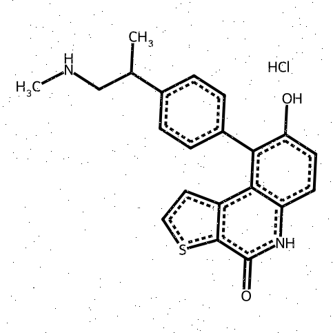 CNCC(C)c1ccc(-c2c(O)ccc3[nH]c(=O)c4sccc4c23)cc1.Cl